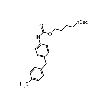 CCCCCCCCCCCCCCOC(=O)Nc1ccc(Cc2ccc(C)cc2)cc1